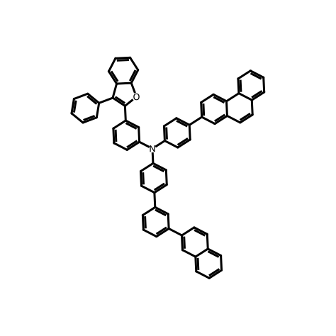 c1ccc(-c2c(-c3cccc(N(c4ccc(-c5cccc(-c6ccc7ccccc7c6)c5)cc4)c4ccc(-c5ccc6c(ccc7ccccc76)c5)cc4)c3)oc3ccccc23)cc1